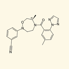 Cc1ccc(-n2nccn2)c(C(=O)N2CCN(c3cccc(C#N)c3)OC[C@H]2C)c1